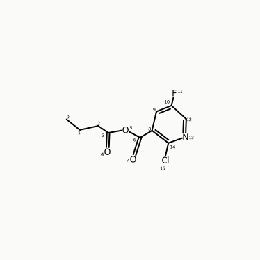 CCCC(=O)OC(=O)c1cc(F)cnc1Cl